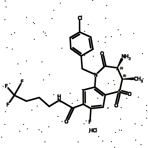 C[C@@H]1[C@H](N)C(=O)N(Cc2ccc(Cl)cc2)c2cc(C(=O)NCCCC(F)(F)F)c(F)cc2S1(=O)=O.Cl